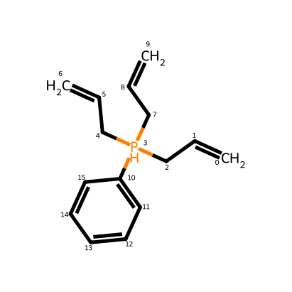 C=CC[PH](CC=C)(CC=C)c1ccccc1